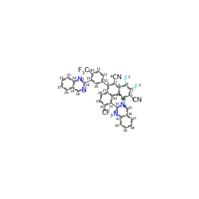 N#Cc1c(F)c(F)c2c(C#N)c(-c3ccc(C(F)(F)F)c(-c4ncc5ccccc5n4)c3)c3ccc(C(F)(F)F)c(-c4ncc5ccccc5n4)c3c2c1F